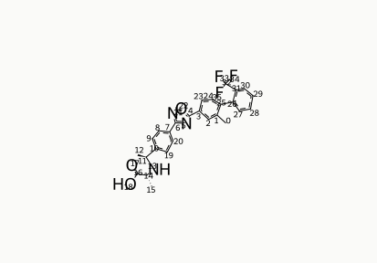 Cc1cc(-c2nc(-c3ccc([C@H](C)N[C@H](C)C(=O)O)cc3)no2)ccc1-c1ccccc1C(F)(F)F